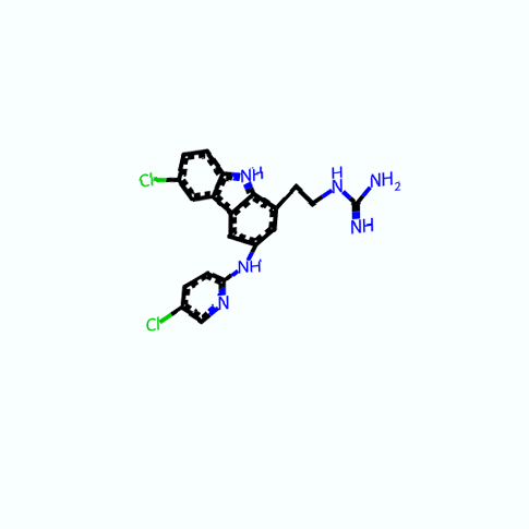 N=C(N)NCCc1cc(Nc2ccc(Cl)cn2)cc2c1[nH]c1ccc(Cl)cc12